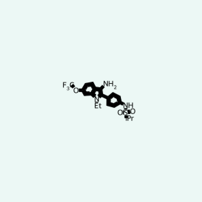 CCn1c(-c2ccc(NS(=O)(=O)C(C)C)cc2)c(N)c2ccc(OC(F)(F)F)cc21